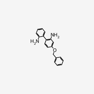 Nc1ccccc1-c1ccc(OCc2ccccc2)cc1N